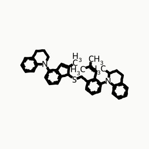 CC(C)=Cc1c(CSC2C(C)=Cc3c2cccc3N2CCCc3ccccc32)cccc1N1c2ccccc2CCC1C